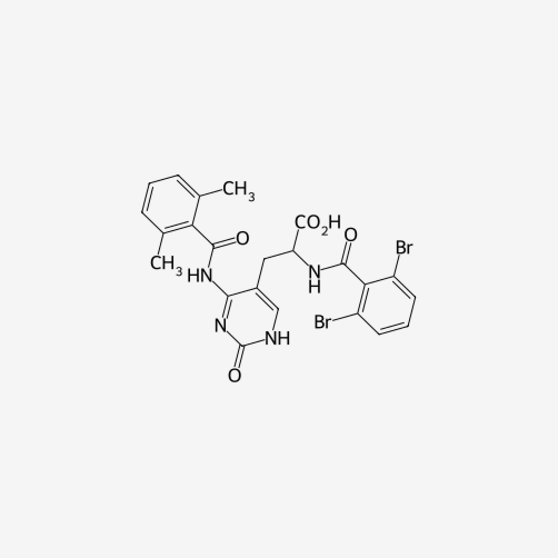 Cc1cccc(C)c1C(=O)Nc1nc(=O)[nH]cc1CC(NC(=O)c1c(Br)cccc1Br)C(=O)O